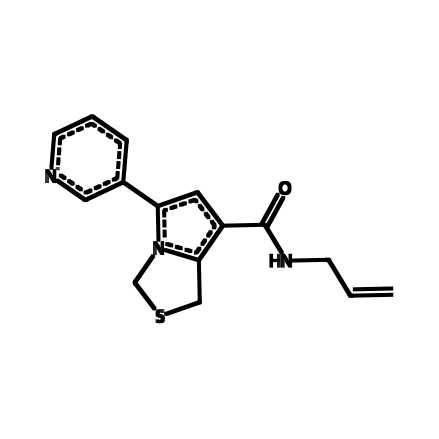 C=CCNC(=O)c1cc(-c2cccnc2)n2c1CSC2